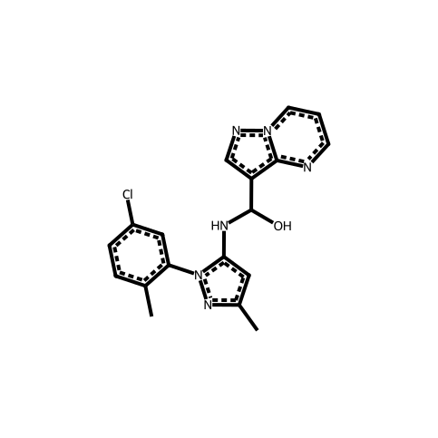 Cc1cc(NC(O)c2cnn3cccnc23)n(-c2cc(Cl)ccc2C)n1